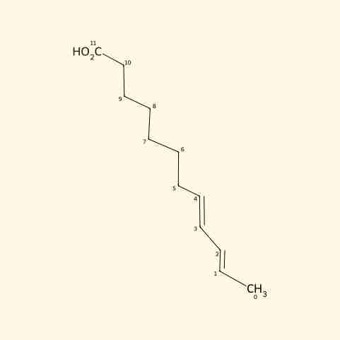 C/C=C/C=C/CCCCCCC(=O)O